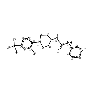 Fc1cc(C(F)(F)F)cnc1N1CCC(NC(=S)Nc2cccnc2)CC1